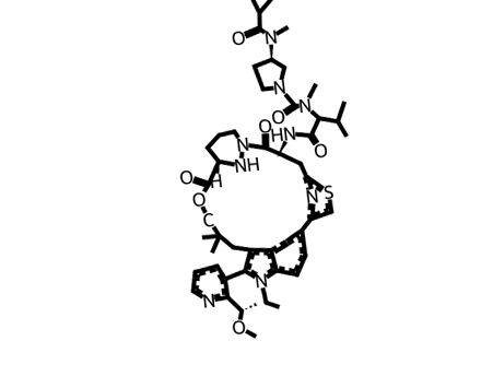 CCn1c(-c2cccnc2[C@H](C)OC)c2c3cc(ccc31)-c1csc(n1)C[C@H](NC(=O)C(C(C)C)N(C)C(=O)N1CC[C@@H](N(C)C(=O)C3CC3)C1)C(=O)N1CCC[C@H](N1)C(=O)OCC(C)(C)C2